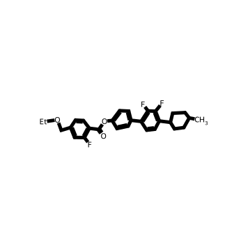 CCOCc1ccc(C(=O)Oc2ccc(-c3ccc(C4CCC(C)CC4)c(F)c3F)cc2)c(F)c1